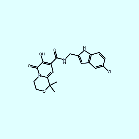 CC1(C)OCCn2c1nc(C(=O)NCc1cc3cc(Cl)ccc3[nH]1)c(O)c2=O